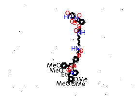 CC[C@@H](C(=O)N1CCCC[C@@H]1C(=O)O[C@@H](CCc1ccc(OC)c(OC)c1)c1ccc(OCC(=O)NCCCCCCNC(=O)COc2cccc3c2C(=O)N(C2CCC(=O)NC2=O)C3=O)cc1)c1cc(OC)c(OC)c(OC)c1